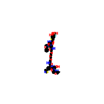 Cc1ncsc1-c1ccc([C@H](CC(=O)NCCOCCOCCOCCC(=O)N[C@H]2C[C@@H](C(=O)N3CCO[C@H](c4ccccc4)C3)N(C(=O)[C@@H](NC(=O)c3cc4cc(C(F)(F)P(=O)(O)O)ccc4s3)C(C)(C)C)C2)NC(=O)[C@@H]2C[C@@H](O)CN2C(=O)[C@@H](NC(=O)C2(F)CC2)C(C)(C)C)cc1